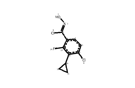 ON=C(Cl)c1ccc(Cl)c(C2CC2)c1F